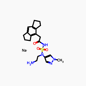 Cn1cc(N(CCN)S(=O)(=O)NC(=O)Cc2c3c(cc4c2CCC4)CCC3)cn1.[Na]